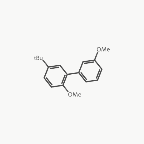 COc1cccc(-c2cc(C(C)(C)C)ccc2OC)c1